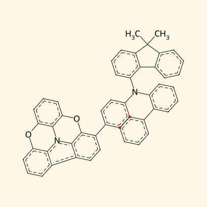 CC1(C)c2ccccc2-c2c(N(c3ccc(-c4ccc5c6cccc7c6n6c5c4Oc4cccc(c4-6)O7)cc3)c3ccccc3-c3ccccc3)cccc21